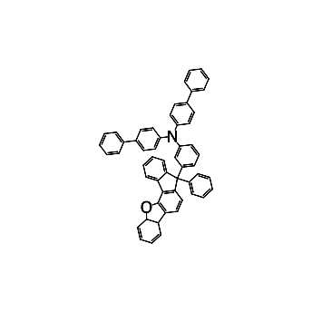 C1=CC2Oc3c(ccc4c3-c3ccccc3C4(c3ccccc3)c3cccc(N(c4ccc(-c5ccccc5)cc4)c4ccc(-c5ccccc5)cc4)c3)C2C=C1